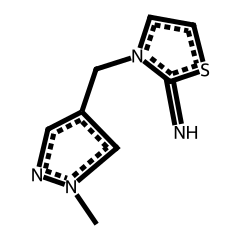 Cn1cc(Cn2ccsc2=N)cn1